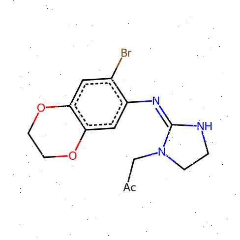 CC(=O)CN1CCN/C1=N/c1cc2c(cc1Br)OCCO2